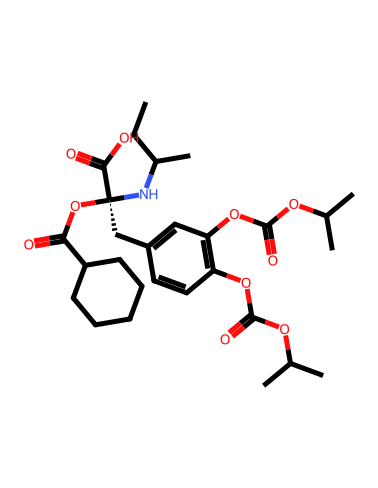 CCC(C)N[C@@](Cc1ccc(OC(=O)OC(C)C)c(OC(=O)OC(C)C)c1)(OC(=O)C1CCCCC1)C(=O)O